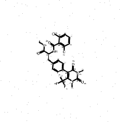 COC(=O)[C@H](Cc1ccc(-c2c(C(F)(F)F)n(C)c(=O)n(C)c2=O)cc1)NC(=O)c1c(Cl)cccc1Cl